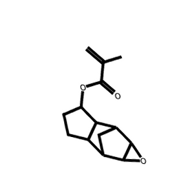 C=C(C)C(=O)OC1CCC2C3CC(C4OC34)C12